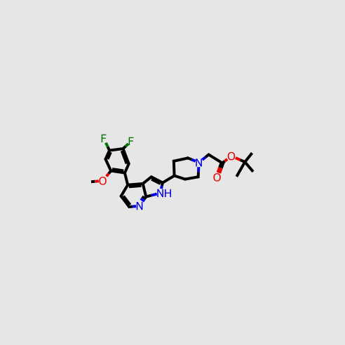 COc1cc(F)c(F)cc1-c1ccnc2[nH]c(C3CCN(CC(=O)OC(C)(C)C)CC3)cc12